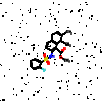 COC(=O)c1c(NS(=O)(=O)c2ccccc2F)ccc2c1C(C)C(C)=CC2